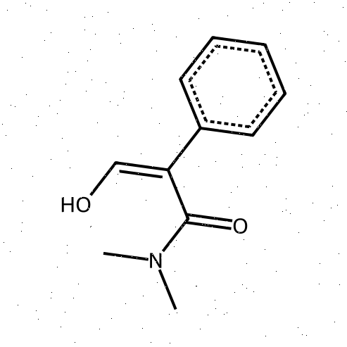 CN(C)C(=O)C(=CO)c1ccccc1